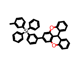 Cc1cccc([Si](c2ccccc2)(c2ccccc2)c2cccc(-c3cc4c5c(c3)Oc3ccccc3C5c3ccccc3O4)c2)c1